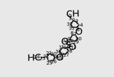 C#Cc1ccc(Oc2ccc(S(=O)(=O)c3ccc(Oc4ccc(C#C)cc4)cc3)cc2)cc1